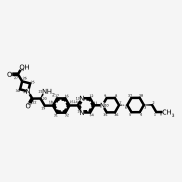 CCC[C@H]1CC[C@H](C2CCN(c3cnc(-c4ccc(C[C@H](N)C(=O)N5CC(C(=O)O)C5)cc4)nc3)CC2)CC1